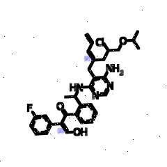 C=C/C=C(/Cc1c(N)ncnc1NC(C)c1ccccc1C(=O)/C(=C\O)c1cccc(F)c1)CC(Cl)COC(C)C